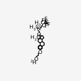 [2H]COCCCOc1ccc2c(c1)CCC1C2CC[C@@]2(C)C1CC[C@@H]2OCCN(C)CCOC(C)(C(F)(F)F)C(F)(F)F